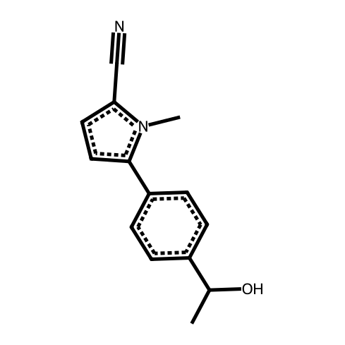 CC(O)c1ccc(-c2ccc(C#N)n2C)cc1